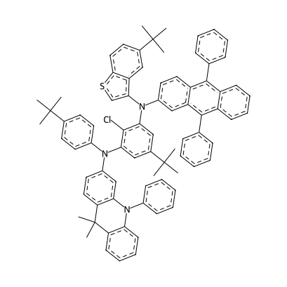 CC(C)(C)c1ccc(N(c2ccc3c(c2)N(c2ccccc2)c2ccccc2C3(C)C)c2cc(C(C)(C)C)cc(N(c3ccc4c(-c5ccccc5)c5ccccc5c(-c5ccccc5)c4c3)c3csc4ccc(C(C)(C)C)cc34)c2Cl)cc1